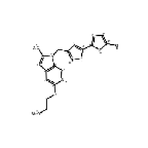 COCCOc1cc2cc(C(=O)O)n(Cc3cc(-c4ccc(Cl)s4)on3)c2cn1